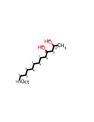 CCCCCCCCCCCCCCCCC(O)CC(C)O